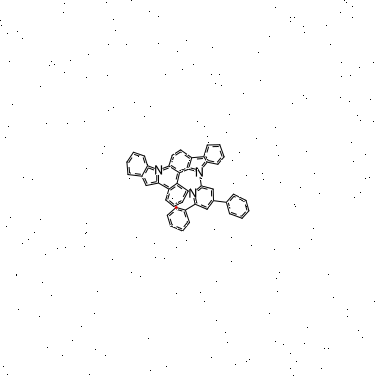 c1ccc(-c2cc(-c3ccccc3)nc(-n3c4ccccc4c4ccc5c(c6ccccc6c6cc7ccccc7n65)c43)c2)cc1